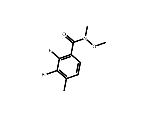 CON(C)C(=O)c1ccc(C)c(Br)c1F